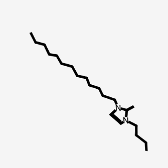 CCCCCCCCCCCCCN1C=CN(CCCC)C1C